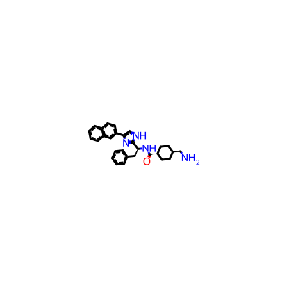 NC[C@H]1CC[C@H](C(=O)N[C@@H](Cc2ccccc2)c2nc(-c3ccc4ccccc4c3)c[nH]2)CC1